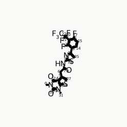 Cn1c(=O)c2c(CC(=O)Nc3nc(-c4ccc(F)c(C(F)(F)C(F)(F)F)c4F)cs3)csc2n(C)c1=O